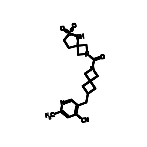 N#Cc1cc(C(F)(F)F)ncc1CC1CC2(C1)CN(C(=O)N1CC3(CCS(=O)(=O)N3)C1)C2